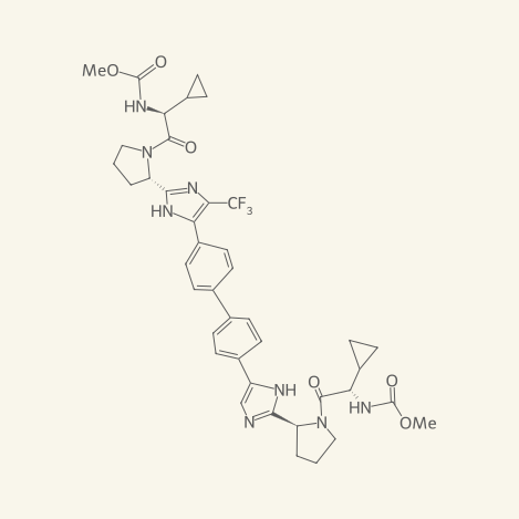 COC(=O)N[C@H](C(=O)N1CCC[C@H]1c1ncc(-c2ccc(-c3ccc(-c4[nH]c([C@@H]5CCCN5C(=O)[C@@H](NC(=O)OC)C5CC5)nc4C(F)(F)F)cc3)cc2)[nH]1)C1CC1